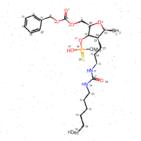 B[C@@H]1O[C@H](COC(=O)OCc2ccccc2)C(OP(O)(=S)OC)[C@@H]1CCCNC(=O)NCCCCCCCCCCCCCCC